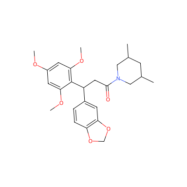 COc1cc(OC)c(C(CC(=O)N2CC(C)CC(C)C2)c2ccc3c(c2)OCO3)c(OC)c1